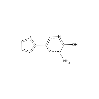 Nc1cc(-c2cccs2)cnc1O